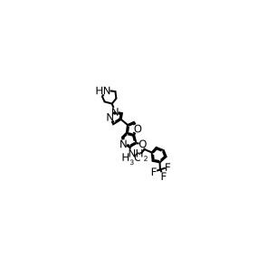 CC(Oc1c(N)ncc2c(-c3cnn(C4CCNCC4)c3)coc12)c1cccc(C(F)(F)F)c1